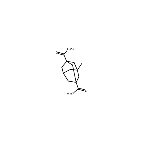 [CH2]C12CC3CC(C(=O)OC)(C1)CC(C(=O)OC)(C3)C2